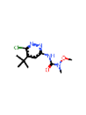 CON(C)C(=O)Nc1cc(C(C)(C)C)c(Cl)nn1